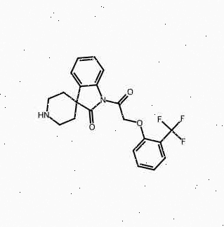 O=C(COc1ccccc1C(F)(F)F)N1C(=O)C2(CCNCC2)c2ccccc21